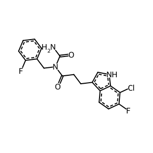 NC(=O)N(Cc1ccccc1F)C(=O)CCc1c[nH]c2c(Cl)c(F)ccc12